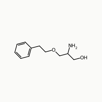 NC(CO)COCCc1ccccc1